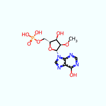 CO[C@@H]1[C@H](O)[C@@H](COP(=O)(O)O)O[C@H]1n1cnc2c(O)ncnc21